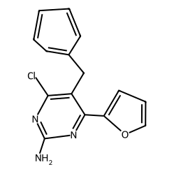 Nc1nc(Cl)c(Cc2ccccc2)c(-c2ccco2)n1